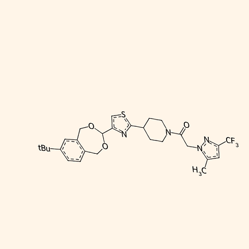 Cc1cc(C(F)(F)F)nn1CC(=O)N1CCC(c2nc(C3OCc4ccc(C(C)(C)C)cc4CO3)cs2)CC1